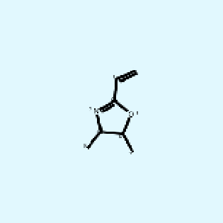 C=CC1=NC(C)C(C)O1